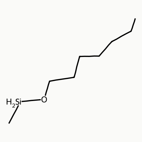 CCCCCCCO[SiH2]C